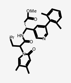 COC(=O)C[C@@H](NC(=O)C(CC(C)C)n1cc(C)c(C)cc1=O)c1cncc(-c2c(C)cccc2C)c1